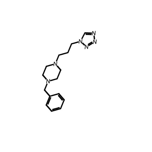 c1ccc(CN2CCN(CCCn3cnnn3)CC2)cc1